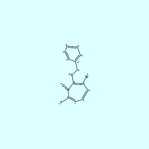 O=c1c(F)cccc(Br)c1OCc1ccccc1